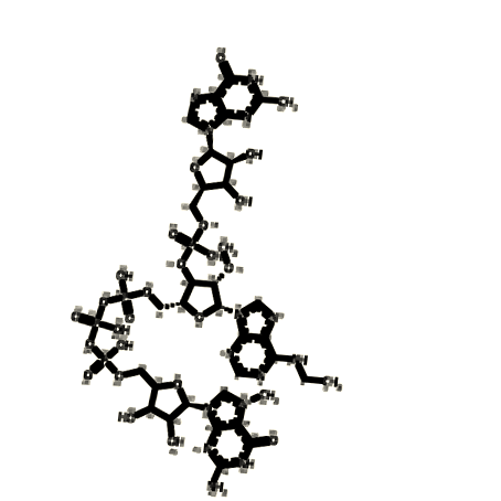 CCNc1ncnc2c1ncn2[C@@H]1O[C@H](COP(=O)(O)OP(=O)(O)OP(=O)(O)OCC2O[C@@H](n3c[n+](C)c4c(=O)[nH]c(N)nc43)C(O)C2O)C(OP(=O)(O)OC[C@H]2O[C@@H](n3cnc4c(=O)[nH]c(C)nc43)[C@@H](O)C2O)[C@@H]1OC